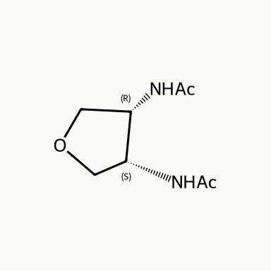 CC(=O)N[C@H]1COC[C@H]1NC(C)=O